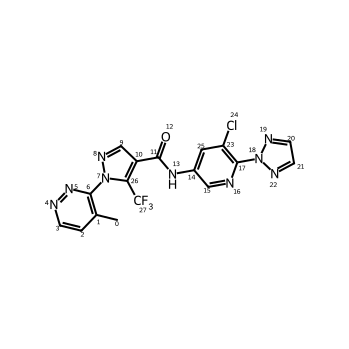 Cc1ccnnc1-n1ncc(C(=O)Nc2cnc(-n3nccn3)c(Cl)c2)c1C(F)(F)F